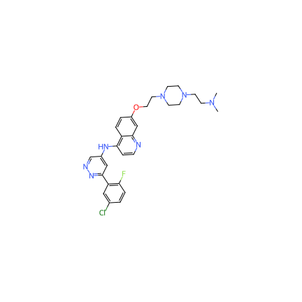 CN(C)CCN1CCN(CCOc2ccc3c(Nc4cnnc(-c5cc(Cl)ccc5F)c4)ccnc3c2)CC1